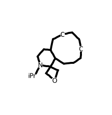 CC(C)N1CCC2CCCCCCCCC2C12COC2